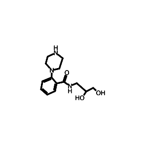 O=C(NCC(O)CO)c1ccccc1N1CCNCC1